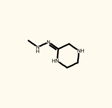 CN/N=C1/CNCCN1